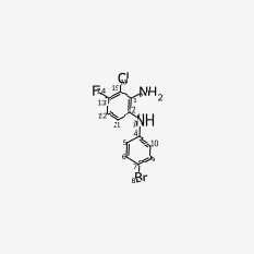 Nc1c(Nc2ccc(Br)cc2)ccc(F)c1Cl